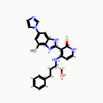 Cc1cc(-n2ccnc2)cc2[nH]c(-c3c(N[C@H](CO)CCc4ccccc4)cc[nH]c3=O)nc12